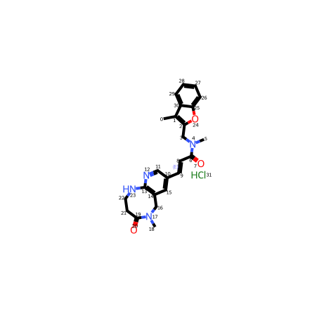 Cc1c(CN(C)C(=O)/C=C/c2cnc3c(c2)CN(C)C(=O)CCN3)oc2ccccc12.Cl